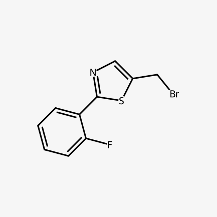 Fc1ccccc1-c1ncc(CBr)s1